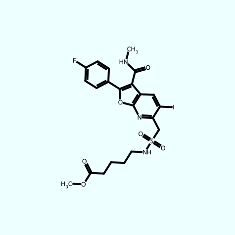 CNC(=O)c1c(-c2ccc(F)cc2)oc2nc(CS(=O)(=O)NCCCCC(=O)OC)c(I)cc12